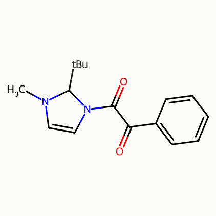 CN1C=CN(C(=O)C(=O)c2ccccc2)C1C(C)(C)C